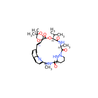 CC(C)[C@@H]1OC(=O)C2(/C=C/c3ccc4ccc(nc4c3)[C@@H](C)NC(=O)[C@@H]3CCCN(N3)C(=O)[C@H](C)NC1=O)COC(C)(C)CO2